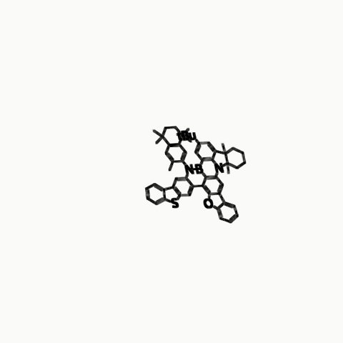 Cc1cc2c(cc1N1B3c4cc(C(C)(C)C)cc5c4N(c4cc6c(oc7ccccc76)c(c43)-c3cc4sc6ccccc6c4cc31)C1(C)CCCCC51C)C(C)(C)CCC2(C)C